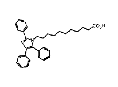 O=C(O)CCCCCCCCCCn1c(-c2ccccc2)nc(-c2ccccc2)c1-c1ccccc1